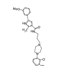 COc1cccc(-c2cc(C(=O)NCCCN3CCN(c4cccc(Cl)c4Cl)CC3)c(C)[nH]2)c1